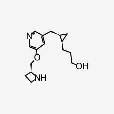 OCCC[C@@H]1C[C@@H]1Cc1cncc(OC[C@@H]2CCN2)c1